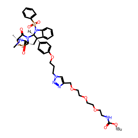 CN1C(=O)[C@@]23C[C@]4(c5ccc(OCCCn6cc(COCCOCCOCCNC(=O)OC(C)(C)C)nn6)cc5)c5ccccc5N(S(=O)(=O)c5ccccc5)[C@@H]4N2C(=O)[C@]1(C)SS3